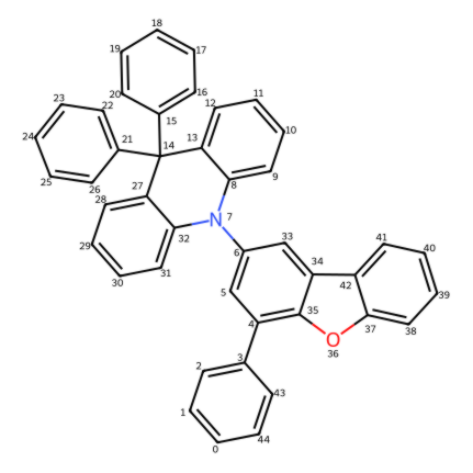 c1ccc(-c2cc(N3c4ccccc4C(c4ccccc4)(c4ccccc4)c4ccccc43)cc3c2oc2ccccc23)cc1